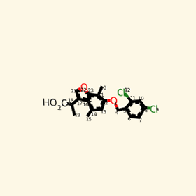 Cc1c(OCc2ccc(Cl)cc2Cl)cc(C)c2c(C(C)C(=O)O)coc12